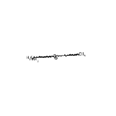 CCCCCCCCC=CCCCCCCCCCC(=O)OCCCCCCCCCCCCCCCCC(C)C